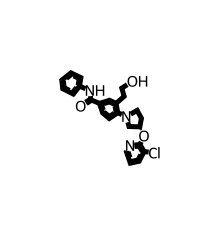 O=C(Nc1ccccc1)c1ccc(N2CC[C@H](Oc3ncccc3Cl)C2)c(CCO)c1